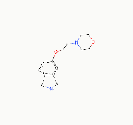 c1cc2c(cc1OCCN1CCOCC1)C[N]C2